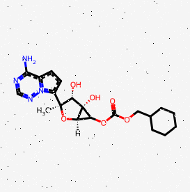 C[C@@]1(c2ccc3c(N)ncnn23)O[C@@H]2C(OC(=O)OCC3CCCCC3)[C@]2(O)[C@H]1O